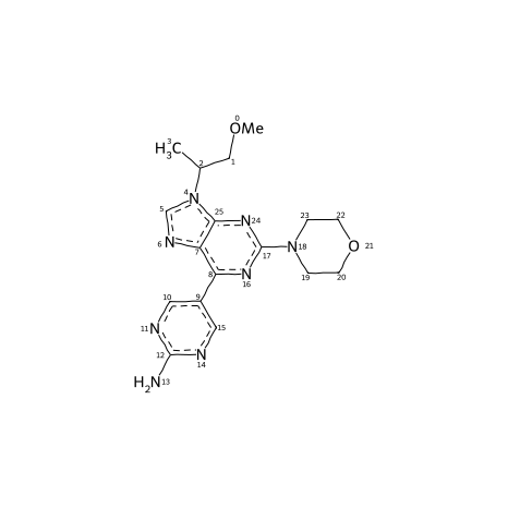 COCC(C)n1cnc2c(-c3cnc(N)nc3)nc(N3CCOCC3)nc21